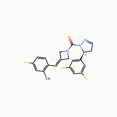 N#Cc1cc(F)ccc1C=C1CN(C(=O)N2N=CC[C@H]2c2cc(F)cc(F)c2)C1